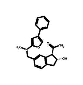 CN(Cc1ccc2c(c1)[C@@H](C(N)=O)[C@H](O)C2)c1cc(-c2ccccc2)co1